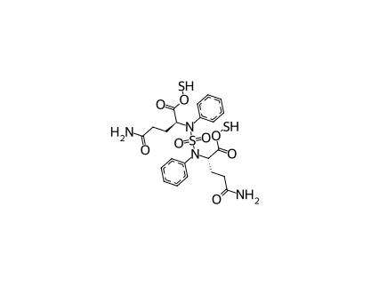 NC(=O)CC[C@@H](C(=O)OS)N(c1ccccc1)S(=O)(=O)N(c1ccccc1)[C@@H](CCC(N)=O)C(=O)OS